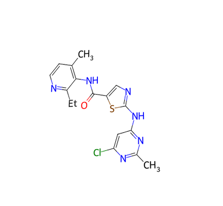 CCc1nccc(C)c1NC(=O)c1cnc(Nc2cc(Cl)nc(C)n2)s1